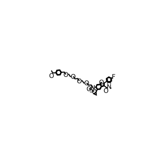 CNC(=O)c1c(-c2ccc(F)cc2)oc2cc(N(CCOCCOCCOCCOCc3ccc(C(C)=O)cc3)S(C)(=O)=O)c(C3CC3)cc12